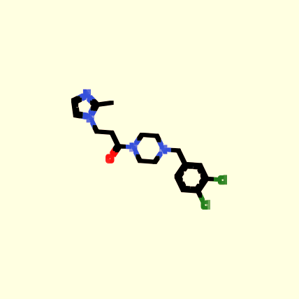 Cc1nccn1CCC(=O)N1CCN(Cc2ccc(Cl)c(Cl)c2)CC1